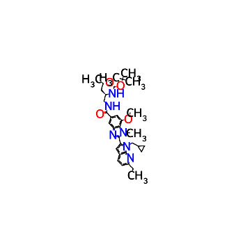 CCC[C@H](CNC(=O)c1cc(OC)c2c(c1)nc(-c1cc3ccc(CC)nc3n1CC1CC1)n2C)NC(=O)OC(C)(C)C